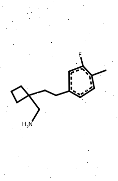 Cc1ccc(CCC2(CN)CCC2)cc1F